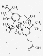 CC(C)(C)c1cc(CP(=O)(O)Oc2c(C(C)(C)C)cc(CCC(=O)O)cc2C(C)(C)C)cc(C(C)(C)C)c1O